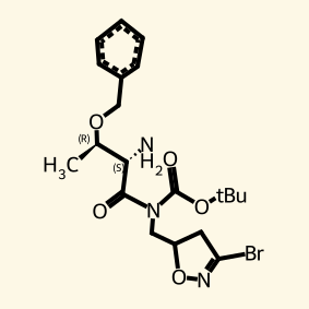 C[C@@H](OCc1ccccc1)[C@H](N)C(=O)N(CC1CC(Br)=NO1)C(=O)OC(C)(C)C